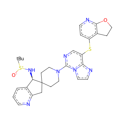 CC(C)(C)[S+]([O-])N[C@@H]1c2cccnc2CC12CCN(c1ncc(Sc3ccnc4c3CCO4)c3nccn13)CC2